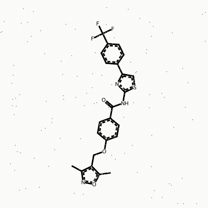 Cc1noc(C)c1COc1ccc(C(=O)Nc2nc(-c3ccc(C(F)(F)F)cc3)cs2)cc1